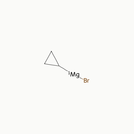 [Br][1Mg][CH]1CC1